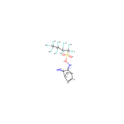 N=C1/C(=N\OS(=O)(=O)C(F)(F)C(F)(F)C(F)(F)C(F)(F)F)C2C=CC1C2